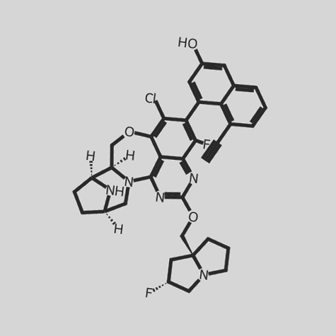 C#Cc1cccc2cc(O)cc(-c3c(Cl)c4c5c(nc(OC[C@@]67CCCN6C[C@H](F)C7)nc5c3F)N3C[C@H]5CC[C@H](N5)[C@H]3CO4)c12